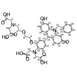 O=C(O)CN(CCOCCOc1cc(-c2c3ccc(=O)cc-3n(Cc3ccccc3)c3cc(O)ccc23)ccc1N(CC(=O)O)CC(=O)O)CC(=O)O